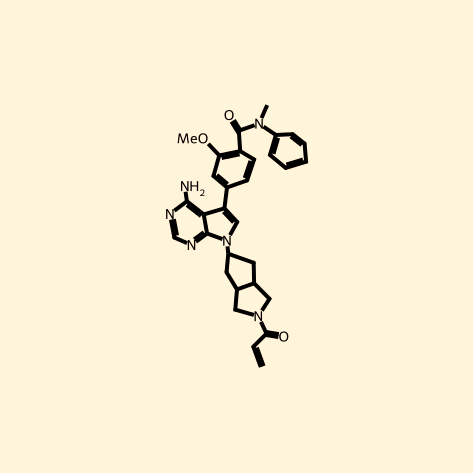 C=CC(=O)N1CC2CC(n3cc(-c4ccc(C(=O)N(C)c5ccccc5)c(OC)c4)c4c(N)ncnc43)CC2C1